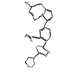 CC(C)Nc1cc(-c2ccc3cc(C#N)cnn23)ncc1-c1nnc(C2CCOCC2)s1